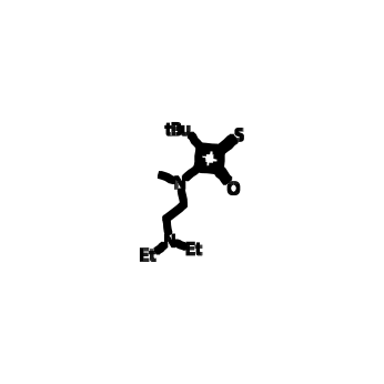 CCN(CC)CCN(C)c1c(C(C)(C)C)c(=S)c1=O